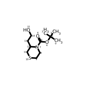 CC(C)(C)OC(=O)N1CCSCC1CCO